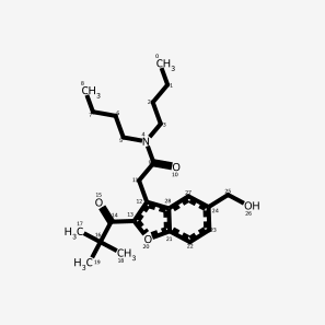 CCCCN(CCCC)C(=O)Cc1c(C(=O)C(C)(C)C)oc2ccc(CO)cc12